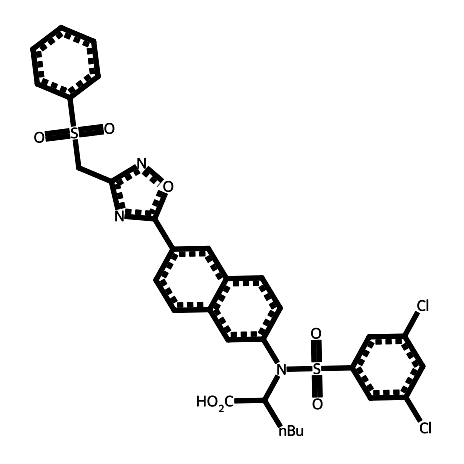 CCCCC(C(=O)O)N(c1ccc2cc(-c3nc(CS(=O)(=O)c4ccccc4)no3)ccc2c1)S(=O)(=O)c1cc(Cl)cc(Cl)c1